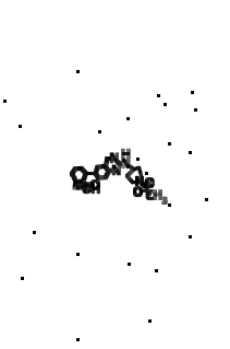 COc1cc2nc(NC3CCN(S(C)(=O)=O)CC3)ncc2cc1-c1ccccc1O